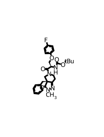 CN1N=C2CCN(C(=O)[C@@H](COc3ccc(F)cc3)NC(=O)OC(C)(C)C)C[C@@]2(Cc2ccccc2)C1=O